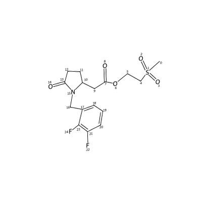 CS(=O)(=O)CCOC(=O)CC1CCC(=O)N1Cc1cccc(F)c1F